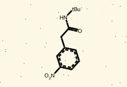 CC(C)(C)NC(=O)Cc1cccc([N+](=O)[O-])c1